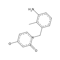 Cc1c(N)cccc1Cn1ccc([O])cc1=O